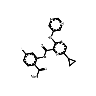 CNC(=O)c1ccc(F)cc1NC(=O)c1nc(C2CC2)cnc1Nc1cncnc1